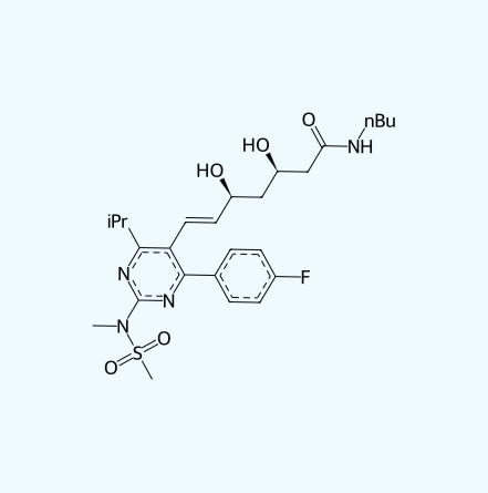 CCCCNC(=O)C[C@H](O)C[C@H](O)/C=C/c1c(-c2ccc(F)cc2)nc(N(C)S(C)(=O)=O)nc1C(C)C